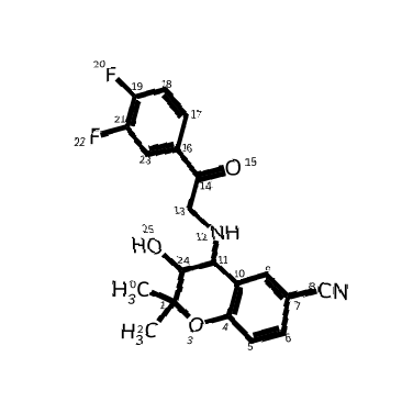 CC1(C)Oc2ccc(C#N)cc2C(NCC(=O)c2ccc(F)c(F)c2)C1O